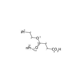 CC(C)CCOC(=O)CCC(=O)O.CCCC